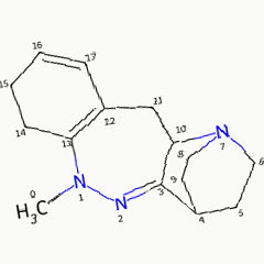 CN1N=C2C3CCN(CC3)C2CC2=C1CCC=C2